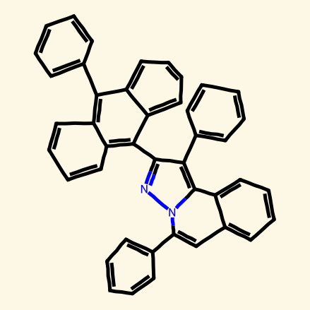 c1ccc(-c2c3ccccc3c(-c3nn4c(-c5ccccc5)cc5ccccc5c4c3-c3ccccc3)c3ccccc23)cc1